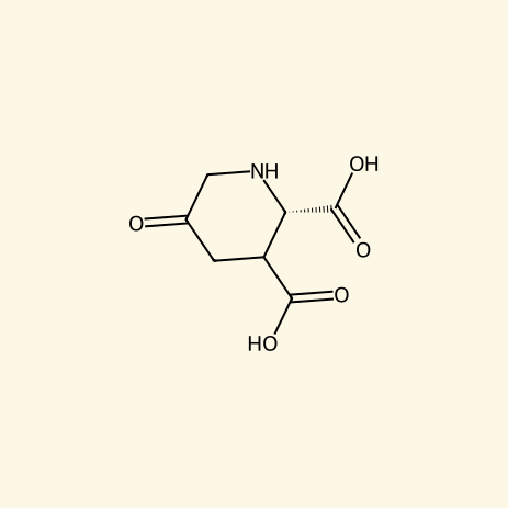 O=C1CN[C@H](C(=O)O)C(C(=O)O)C1